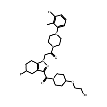 Cc1c(Cl)cccc1N1CCN(C(=O)Cn2nc(C(=O)N3CCC(OCCO)CC3)c3c2CCC(F)C3)CC1